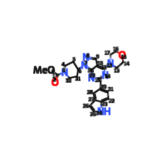 COC(=O)N1CCC(n2ncc3c(N4CCOCC4)nc(-c4ccc5[nH]ccc5c4)nc32)CC1